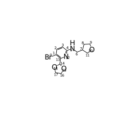 Brc1ccc(NCC2CCOC2)nc1C1OCCO1